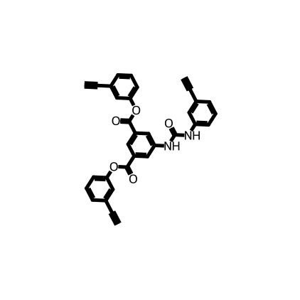 C#Cc1cccc(NC(=O)Nc2cc(C(=O)Oc3cccc(C#C)c3)cc(C(=O)Oc3cccc(C#C)c3)c2)c1